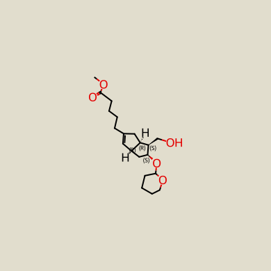 COC(=O)CCCCC1=C[C@@H]2C[C@H](OC3CCCCO3)[C@H](CO)[C@@H]2C1